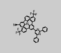 N#Cc1ccc2c(c1)c1ccccc1n2-c1c(-c2ccc(C(F)(F)F)cc2)cc(-c2cc(-c3ccccc3)nc(-c3ccccc3)n2)cc1-c1ccc(C(F)(F)F)cc1